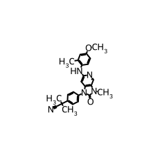 COc1ccc(Nc2cc3c(cn2)n(C)c(=O)n3-c2ccc(C(C)(C)C#N)cc2)c(C)c1